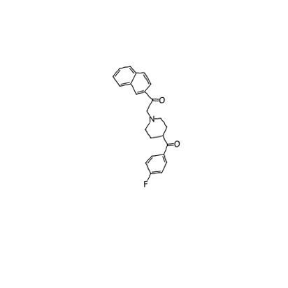 O=C(CN1CCC(C(=O)c2ccc(F)cc2)CC1)c1ccc2ccccc2c1